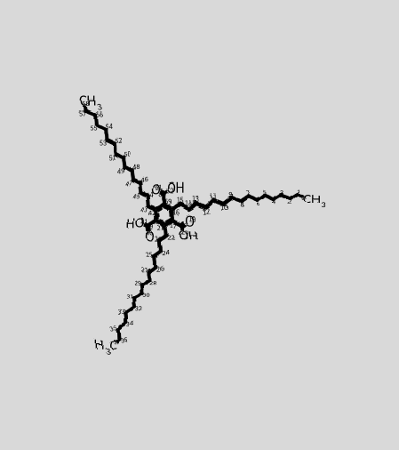 CCCCCCCCCCCCCCCCc1c(C(=O)O)c(CCCCCCCCCCCCCCCC)c(C(=O)O)c(CCCCCCCCCCCCCCCC)c1C(=O)O